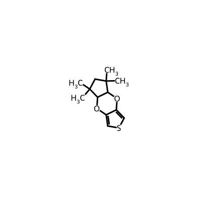 CC1(C)CC(C)(C)C2Oc3cscc3OC21